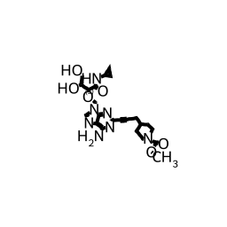 COC(=O)N1CCC(CC#Cc2nc(N)c3ncn(CO[C@H](C(=O)NC4CC4)C(O)CO)c3n2)CC1